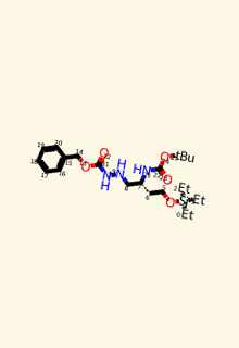 CC[Si](CC)(CC)OCC[C@H](CNNC(=O)OCc1ccccc1)NC(=O)OC(C)(C)C